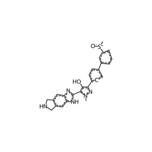 Cn1nc(-c2ccc(-c3cccc([S+](C)[O-])c3)cc2)c(O)c1-c1nc2cc3c(cc2[nH]1)CNC3